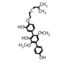 COc1cc(-c2ccc(O)cc2)c(OC)c(O)c1-c1ccc(OCC=C=CC(C)C)c(O)c1